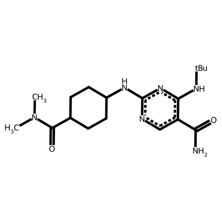 CN(C)C(=O)C1CCC(Nc2ncc(C(N)=O)c(NC(C)(C)C)n2)CC1